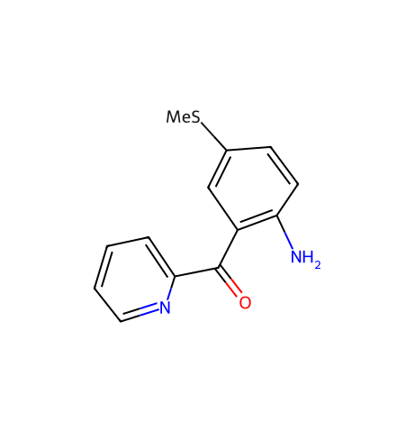 CSc1ccc(N)c(C(=O)c2ccccn2)c1